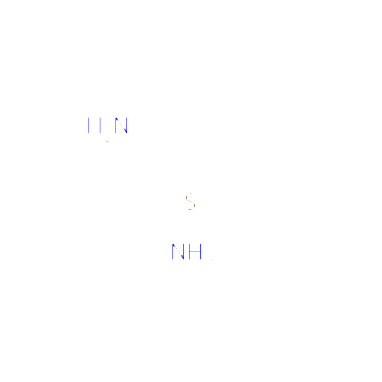 N.NC1CCC=CS1